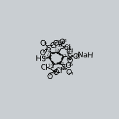 O=S(=O)(Cl)c1c(S)c(S(=O)(=O)Cl)c(S(=O)(=O)Cl)c(S(=O)(=O)Cl)c1S(=O)(=O)Cl.[NaH]